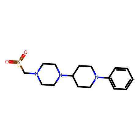 O=[SH](=O)CN1CCN(C2CCN(c3cc[c]cc3)CC2)CC1